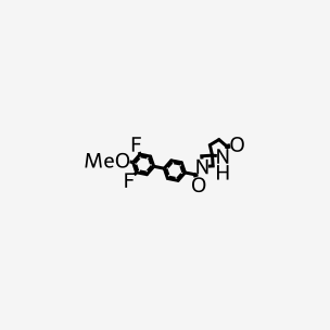 COc1c(F)cc(-c2ccc(C(=O)N3CC4(CCC(=O)N4)C3)cc2)cc1F